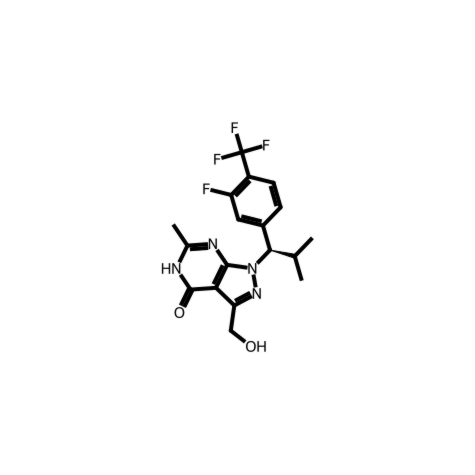 Cc1nc2c(c(CO)nn2[C@@H](c2ccc(C(F)(F)F)c(F)c2)C(C)C)c(=O)[nH]1